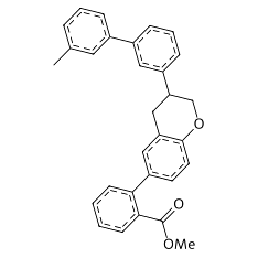 COC(=O)c1ccccc1-c1ccc2c(c1)CC(c1cccc(-c3cccc(C)c3)c1)CO2